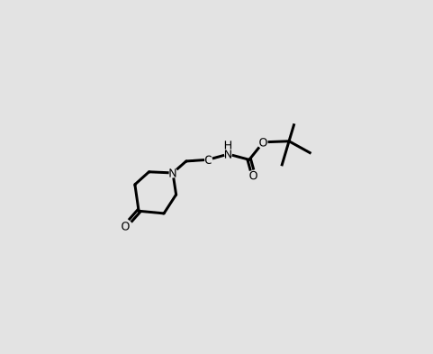 CC(C)(C)OC(=O)NCCN1CCC(=O)CC1